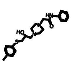 Cc1ccc(SCC(O)CN2CCN(CC(=O)Nc3ccccc3)CC2)cc1